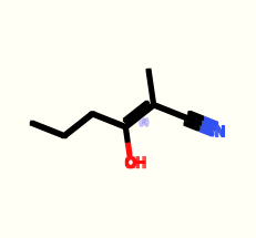 CCC/C(O)=C(\C)C#N